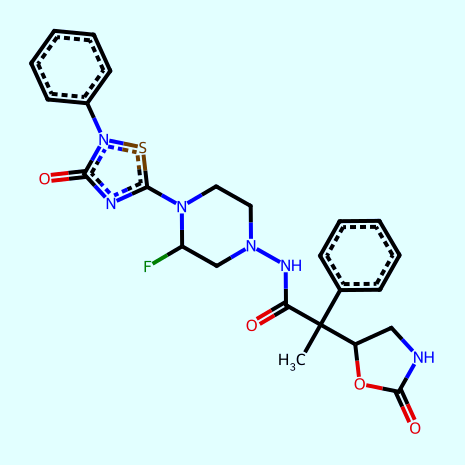 CC(C(=O)NN1CCN(c2nc(=O)n(-c3ccccc3)s2)C(F)C1)(c1ccccc1)C1CNC(=O)O1